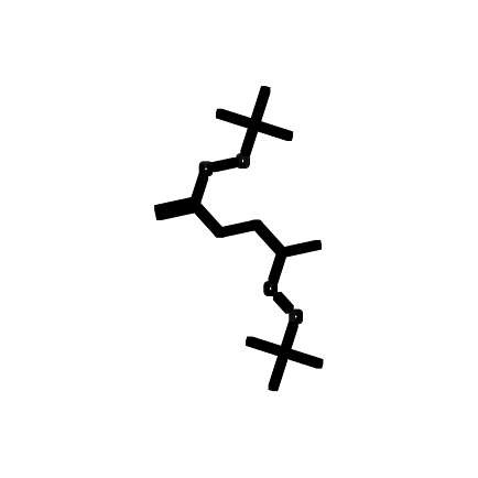 C=C(CCC(C)OOC(C)(C)C)OOC(C)(C)C